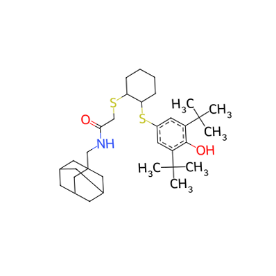 CC(C)(C)c1cc(SC2CCCCC2SCC(=O)NCC23CC4CC(CC(C4)C2)C3)cc(C(C)(C)C)c1O